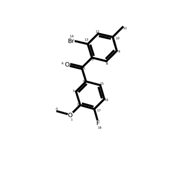 COc1cc(C(=O)c2ccc(C)cc2Br)ccc1F